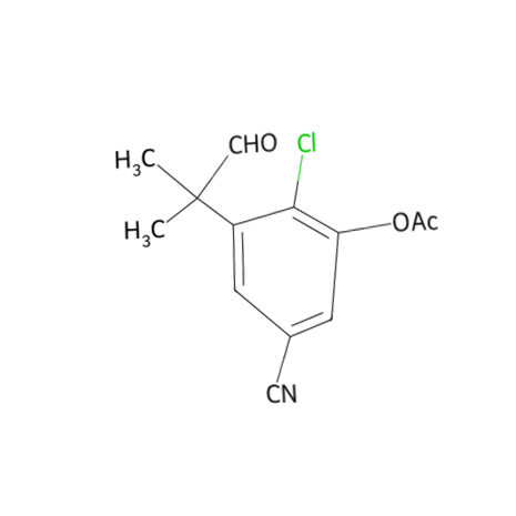 CC(=O)Oc1cc(C#N)cc(C(C)(C)C=O)c1Cl